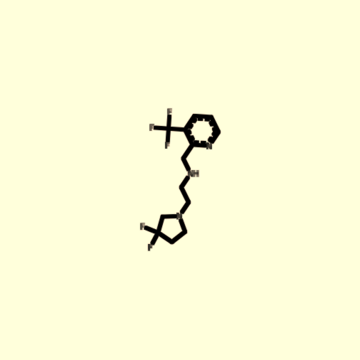 FC1(F)CCN(CCNCc2ncccc2C(F)(F)F)C1